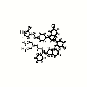 CCN(CC)CCCN(c1ccccc1)C1Cc2ccccc2C1.O=C1NCCN1CCN1CCC(c2cn(-c3ccc(F)cc3)c3ccc(Cl)cc23)CC1